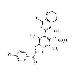 Cc1c(-c2c(C)c3c(c(C)c2CC(=O)O)CN(C(=O)c2ccc(Cl)cc2)C3)cc(F)c2c1CCCO2